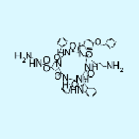 NCCCC[C@@H]1NC(=O)[C@@H](Cc2c[nH]c3ccccc23)NC(=O)[C@H](c2ccccc2)NC(=O)C2C[C@@H](OC(=O)NCCN)CN2C(=O)[C@H](Cc2ccccc2)NC(=O)C(Cc2ccc(OCc3ccccc3)cc2)NC1=O